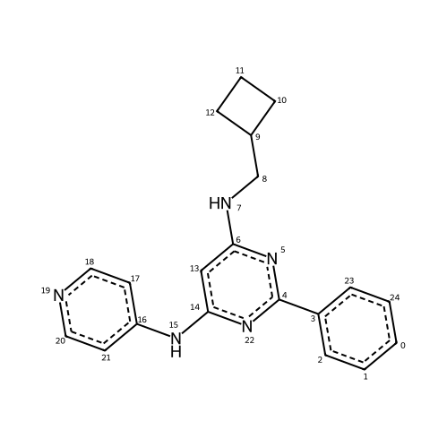 c1ccc(-c2nc(NCC3CCC3)cc(Nc3ccncc3)n2)cc1